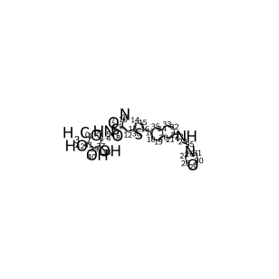 CC1O[C@H](CNS(=O)(=O)/C(C#N)=C/c2ccc(-c3ccc4cc(NCCN5CCOCC5)ccc4c3)s2)[C@@H](O)[C@H](O)[C@H]1O